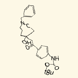 CC(C)(C)OC(=O)Nc1ccc(C(=O)CC2(O)CCN(Cc3ccccc3)CC2)cc1